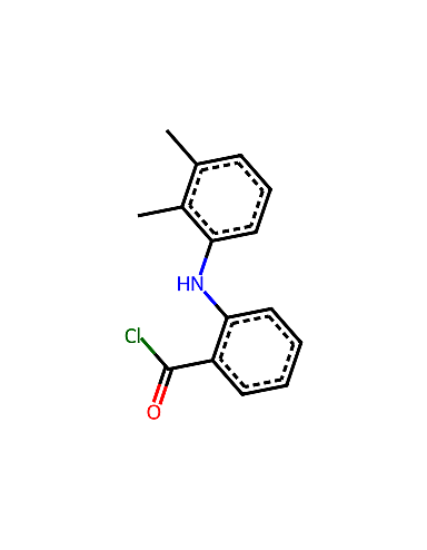 Cc1cccc(Nc2ccccc2C(=O)Cl)c1C